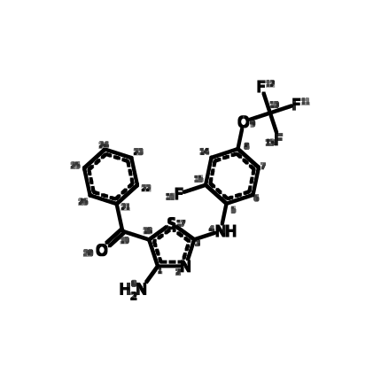 Nc1nc(Nc2ccc(OC(F)(F)F)cc2F)sc1C(=O)c1ccccc1